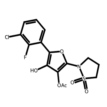 CC(=O)Oc1c(N2CCCS2(=O)=O)oc(-c2cccc(Cl)c2F)c1O